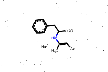 CC(=O)C=C(C)NC(Cc1ccccc1)C(=O)[O-].[Na+]